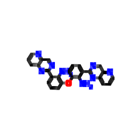 Nc1c(Oc2cccc(-c3ncc4ncccc4n3)c2N)cccc1-c1ncc2ncccc2n1